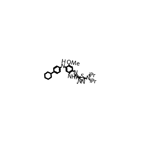 COc1cc(N=Nc2sc(N(C(C)C)C(C)C)n[n+]2C)c(NC(C)=O)cc1Nc1ccc(C2CCCCC2)cc1